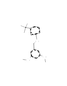 COc1cc(COc2cccc(C(C)(C)C)c2)cc(OC)c1